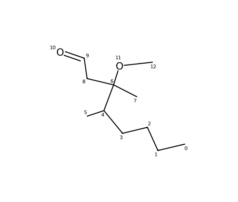 CCCCC(C)C(C)(CC=O)OC